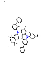 Cc1cc2c3c(c1)N(c1cccc4c1Cc1ccccc1-4)c1cc4c(cc1B3c1cc(-c3ccccc3)ccc1N2c1ccc(C(C)(C)C)cc1C)C(C)(C)CCC4(C)C